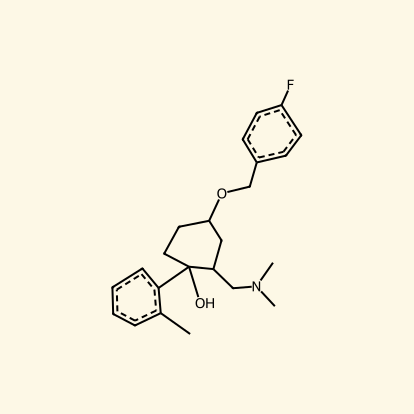 Cc1ccccc1C1(O)CCC(OCc2ccc(F)cc2)CC1CN(C)C